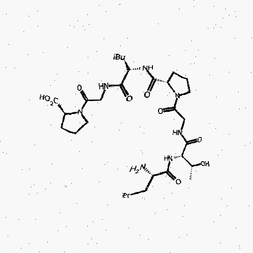 CC[C@H](C)[C@H](NC(=O)[C@@H]1CCCN1C(=O)CNC(=O)[C@@H](NC(=O)[C@@H](N)CC(C)C)[C@@H](C)O)C(=O)NCC(=O)N1CCC[C@H]1C(=O)O